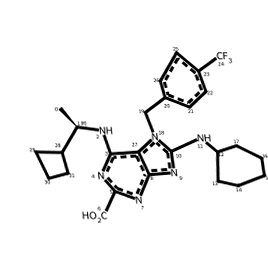 C[C@@H](Nc1nc(C(=O)O)nc2nc(NC3CCCCC3)n(Cc3ccc(C(F)(F)F)cc3)c12)C1CCC1